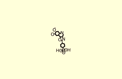 COc1cc2ncc3nc(-c4ccc(P(=O)(O)O)cc4)oc3c2cc1OC